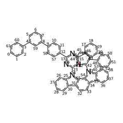 c1ccc(-c2cccc(-c3ccc(-c4nc(-c5ccccc5)nc(-n5c6ccccc6c6ccc7c8ccccc8n(-c8ccccc8-c8ccccc8)c7c65)n4)cc3)c2)cc1